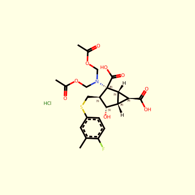 CC(=O)OCN(COC(C)=O)[C@]1(C(=O)O)[C@@H]2[C@@H](C(=O)O)[C@@H]2[C@H](O)[C@H]1CSc1ccc(F)c(C)c1.Cl